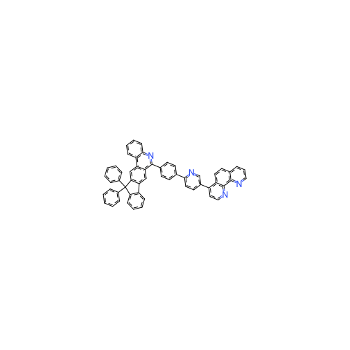 c1ccc(C2(c3ccccc3)c3ccccc3-c3cc4c(-c5ccc(-c6ccc(-c7ccnc8c7ccc7cccnc78)cn6)cc5)nc5ccccc5c4cc32)cc1